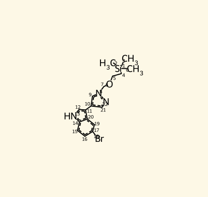 C[Si](C)(C)CCOCn1cc(-c2c[nH]c3ccc(Br)cc23)cn1